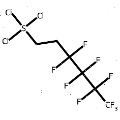 FC(F)(F)C(F)(F)C(F)(F)C(F)(F)CCS(Cl)(Cl)Cl